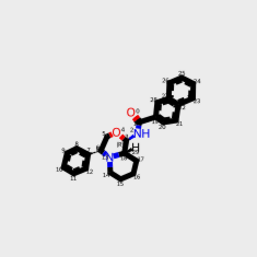 O=C(N[C@@H]1OC[C@@H](c2ccccc2)N2CCCC[C@@H]12)c1ccc2ccccc2c1